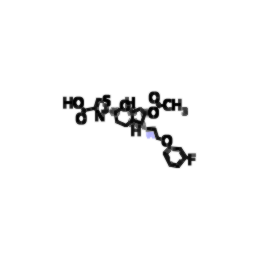 CC(=O)O[C@@H]1C[C@@H]2O[C@@H](c3nc(C(=O)O)cs3)CC[C@@H]2[C@H]1/C=C/COc1cccc(F)c1